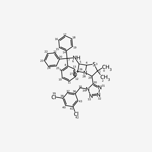 CC1(C)SC2C(NC(c3ccccc3)(c3ccccc3)c3ccccc3)C(=O)N2C1c1nnnn1Cc1cc(Cl)cc(Cl)c1